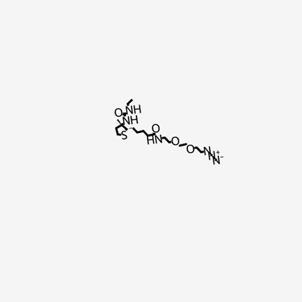 CCNC(=O)N[C@@]1(C)CCS[C@H]1CCCCC(=O)NCCOCCOCCN=[N+]=[N-]